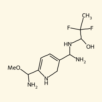 COC(N)C1=CC=C(C(N)NC(O)C(C)(F)F)CN1